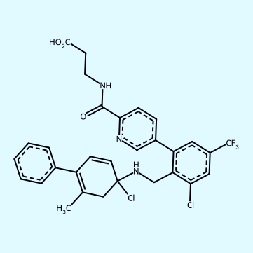 CC1=C(c2ccccc2)C=CC(Cl)(NCc2c(Cl)cc(C(F)(F)F)cc2-c2ccc(C(=O)NCCC(=O)O)nc2)C1